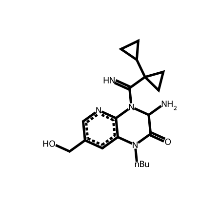 CCCCN1C(=O)C(N)N(C(=N)C2(C3CC3)CC2)c2ncc(CO)cc21